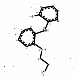 CC(C)CCNc1ccccc1Nc1ccccc1F